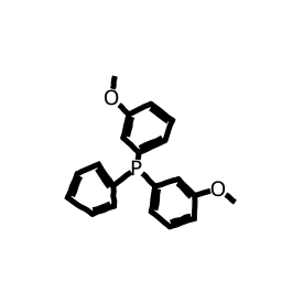 COc1cccc(P(c2ccccc2)c2cccc(OC)c2)c1